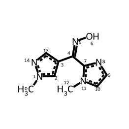 Cn1cc(/C(=N/O)c2nccn2C)cn1